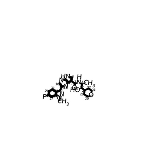 C[C@@H](NC(=O)c1c[nH]c2ncc(-c3nn(C)c4cc(F)ccc34)nc12)[C@@H](O)C1CCOCC1